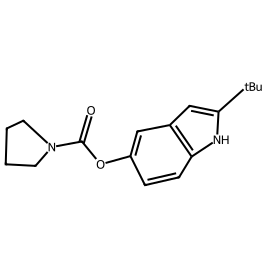 CC(C)(C)c1cc2cc(OC(=O)N3CCCC3)ccc2[nH]1